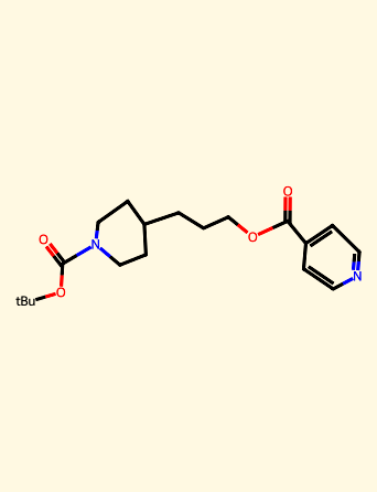 CC(C)(C)OC(=O)N1CCC(CCCOC(=O)c2ccncc2)CC1